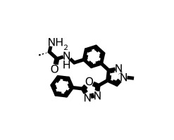 C[C@H](N)C(=O)NCc1cccc(-c2nn(C)cc2-c2nnc(-c3ccccc3)o2)c1